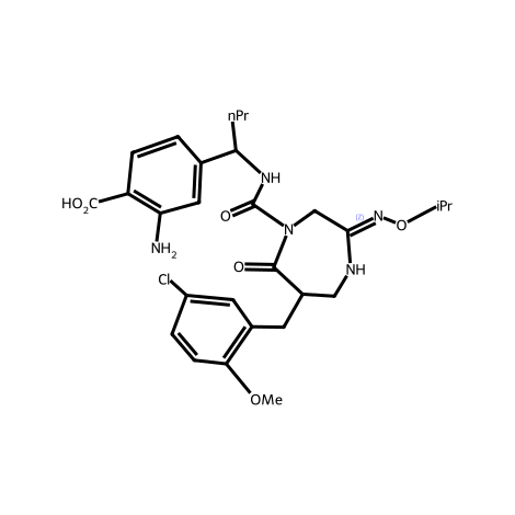 CCCC(NC(=O)N1C/C(=N/OC(C)C)NCC(Cc2cc(Cl)ccc2OC)C1=O)c1ccc(C(=O)O)c(N)c1